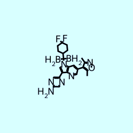 BC(B)(C1CCC(F)(F)CC1)n1cc(-c2cnc(N)cn2)c2ncc(-c3c(C)noc3C)cc21